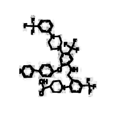 O=C(O)C1CCN(c2ccc(C(F)(F)F)cc2CNc2cc(C(F)(F)F)c(N3CCN(c4cccc(C(F)(F)F)c4)CC3)cc2Oc2ccc(-c3ccncc3)cc2)CC1